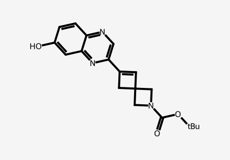 CC(C)(C)OC(=O)N1CC2(C=C(c3cnc4ccc(O)cc4n3)C2)C1